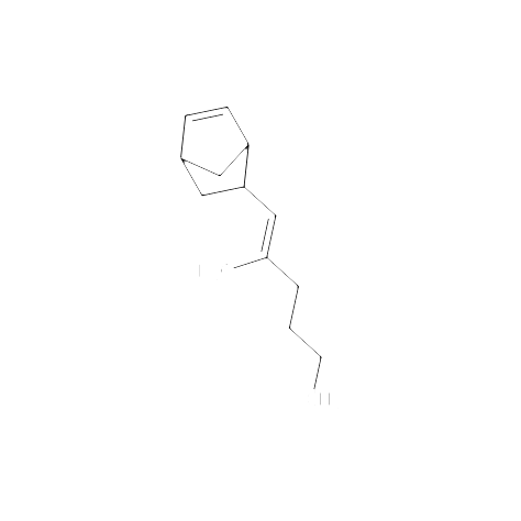 CCCC/C(C)=C/C1CC2C=CC1C2